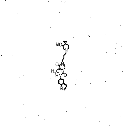 C[C@H]1C(=O)N(CCCCN2CCC3(CC3)[C@H](O)C2)CCN1C(=O)Nc1ccc2ncccc2c1